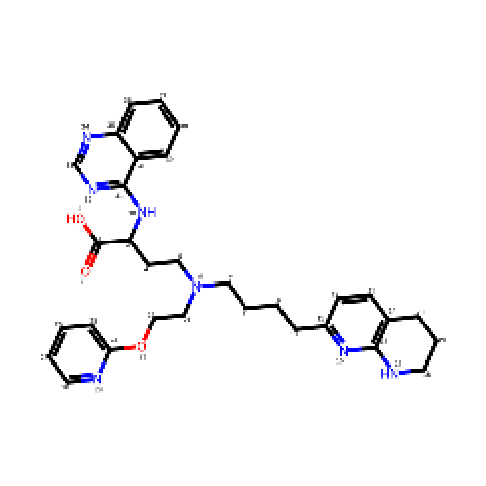 O=C(O)C(CCN(CCCCc1ccc2c(n1)NCCC2)CCOc1ccccn1)Nc1ncnc2ccccc12